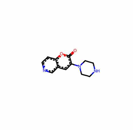 O=c1oc2ccncc2cc1N1CCNCC1